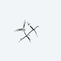 [CH2]C(F)(F)C(F)(F)[SH](=O)=O